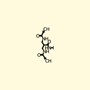 C#CC(=O)NCC(CNC(=O)C#C)C(=O)NI